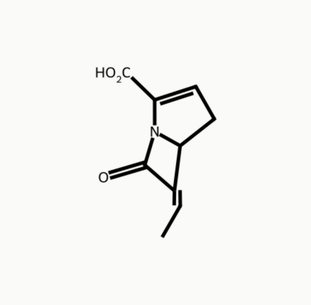 CC=C1C(=O)N2C(C(=O)O)=CCC12